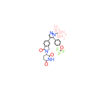 BC(B)(B)n1ncc(-c2ccc3c(c2)CN(C2CCC(=O)NC2=O)C3=O)c1-c1ccc(OC(F)(F)F)cc1